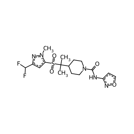 Cn1nc(C(F)F)cc1S(=O)(=O)C(C)(C)C1CCN(C(=O)Nc2ccon2)CC1